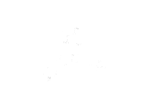 CC(C)(C)OC(=O)NC(=N)C(CCCC1CCNCC1)N1CC(COS(C)(=O)=O)OC1=O